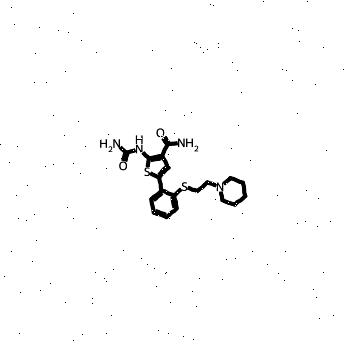 NC(=O)Nc1sc(-c2ccccc2SCCN2CCCCC2)cc1C(N)=O